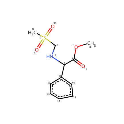 COC(=O)C(NCS(C)(=O)=O)c1ccccc1